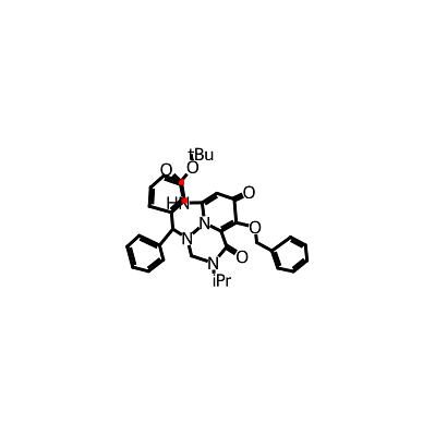 CC(C)N1CN(C(c2ccccc2)c2ccccc2)n2c(NC(=O)OC(C)(C)C)cc(=O)c(OCc3ccccc3)c2C1=O